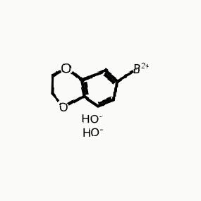 [B+2]c1ccc2c(c1)OCCO2.[OH-].[OH-]